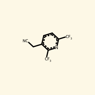 N#CCc1ccc(C(F)(F)F)nc1C(F)(F)F